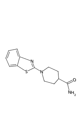 NC(=O)C1CCN(c2nc3ccccc3s2)CC1